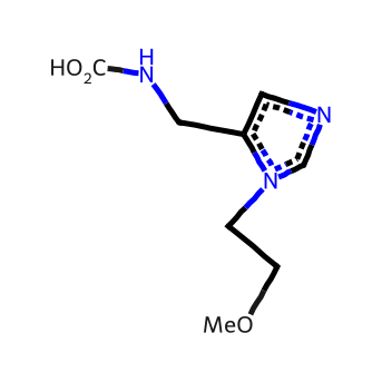 COCCn1cncc1CNC(=O)O